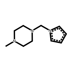 CN1CCN(Cn2cccc2)CC1